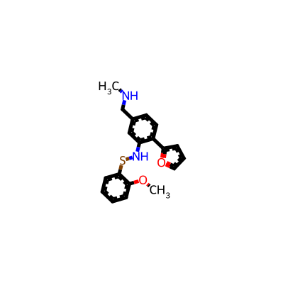 CNCc1ccc(-c2ccco2)c(NSc2ccccc2OC)c1